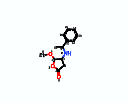 CCOC1OC(=O)CC1NC(C)c1ccccc1